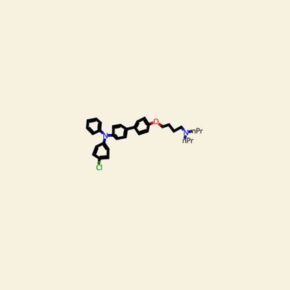 CCCN(CCC)CCCCOc1ccc(-c2ccc(N(c3ccccc3)c3ccc(Cl)cc3)cc2)cc1